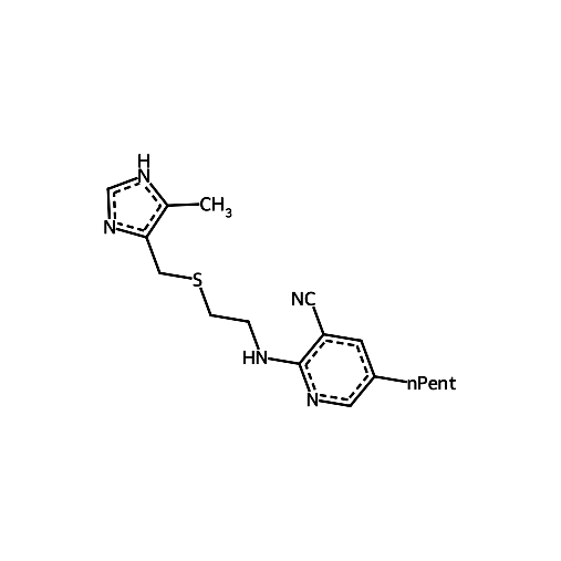 CCCCCc1cnc(NCCSCc2nc[nH]c2C)c(C#N)c1